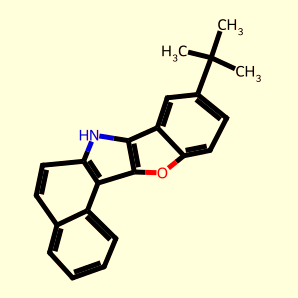 CC(C)(C)c1ccc2oc3c([nH]c4ccc5ccccc5c43)c2c1